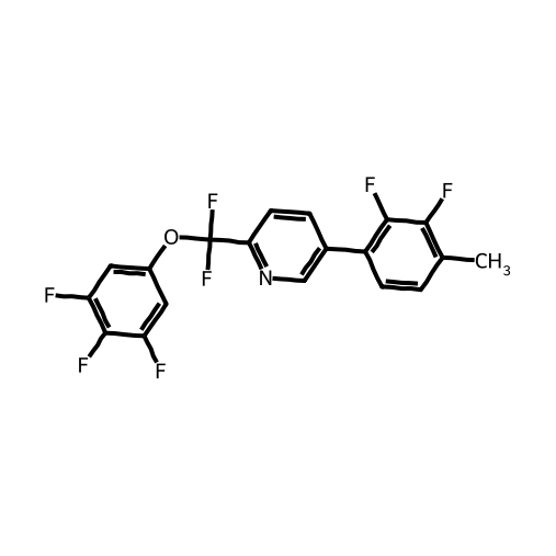 Cc1ccc(-c2ccc(C(F)(F)Oc3cc(F)c(F)c(F)c3)nc2)c(F)c1F